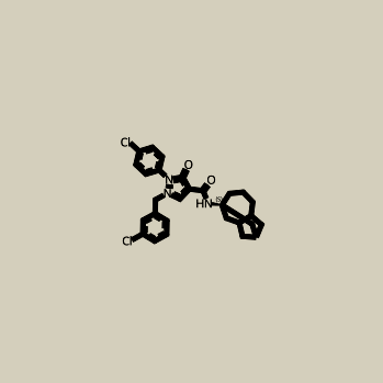 O=C(N[C@]12CCCC3CC(CC3C1)C2)c1cn(Cc2cccc(Cl)c2)n(-c2ccc(Cl)cc2)c1=O